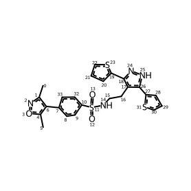 Cc1noc(C)c1-c1ccc(S(=O)(=O)NCCc2c(-c3cccs3)n[nH]c2-c2cccs2)cc1